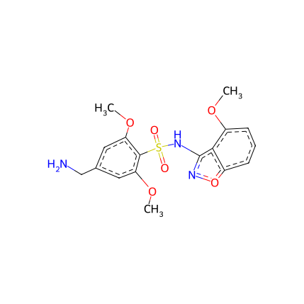 COc1cc(CN)cc(OC)c1S(=O)(=O)Nc1noc2cccc(OC)c12